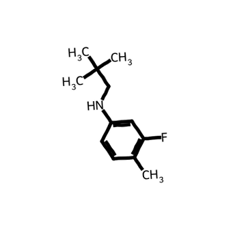 Cc1ccc(NCC(C)(C)C)cc1F